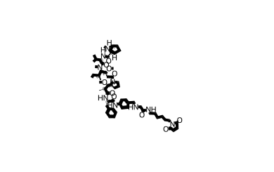 CC[C@H](C)[C@@H]([C@@H](CC(=O)N1CCC[C@H]1[C@H](OC)[C@@H](C)C(=O)N[C@@H](Cc1ccccc1)C(=O)Nc1ccc(CNCC(=O)NCCCCCCN2C(=O)C=CC2=O)cc1)OC)N(C)C(=O)[C@@H](NC(=O)[C@@H]1[C@H]2CC[C@H](C2)N1C)C(C)C